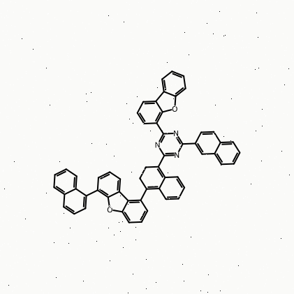 c1ccc2c(c1)=C(c1nc(-c3ccc4ccccc4c3)nc(-c3cccc4c3oc3ccccc34)n1)CCC=2c1cccc2oc3c(-c4cccc5ccccc45)cccc3c12